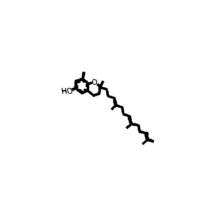 CC(C)=CCC/C(C)=C/CC/C(C)=C/CCC1(C)CCc2cc(O)cc(C)c2O1